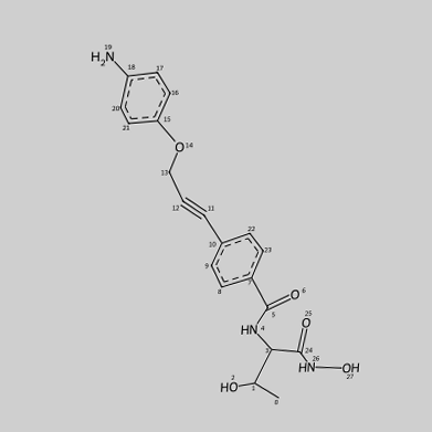 CC(O)C(NC(=O)c1ccc(C#CCOc2ccc(N)cc2)cc1)C(=O)NO